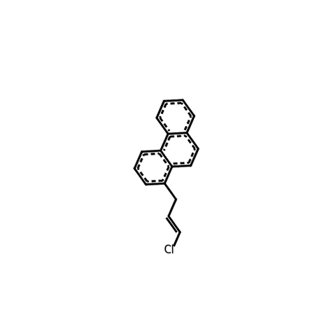 ClC=CCc1cccc2c1ccc1ccccc12